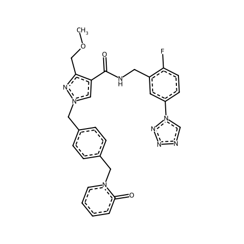 COCc1nn(Cc2ccc(Cn3ccccc3=O)cc2)cc1C(=O)NCc1cc(-n2cnnn2)ccc1F